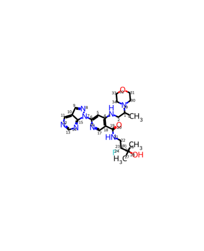 CC(CNc1cc(-n2ncc3cncnc32)ncc1C(=O)NC[C@@H](F)C(C)(C)O)N1CCOCC1